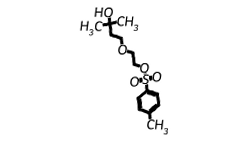 Cc1ccc(S(=O)(=O)OCCOCCC(C)(C)O)cc1